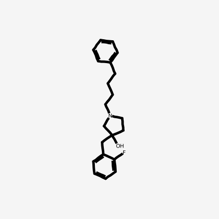 OC1(Cc2ccccc2F)CCN(CCCCc2ccccc2)C1